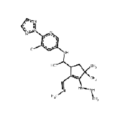 CN=CC1=C(NNC)C(C)(C)CC1C(O)Nc1cnc(-n2nccn2)c(Cl)c1